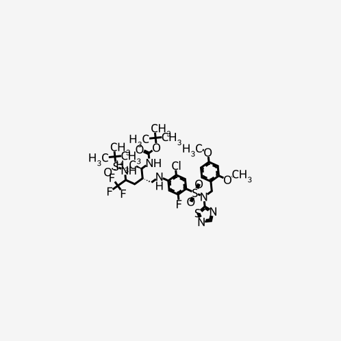 COc1ccc(CN(c2ncns2)S(=O)(=O)c2cc(Cl)c(NC[C@H](CC(N[S@+]([O-])C(C)(C)C)C(F)(F)F)[C@@H](C)NC(=O)OC(C)(C)C)cc2F)c(OC)c1